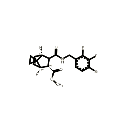 COC(=O)[C@H]1C(C(=O)NCc2ccc(Br)c(F)c2F)[C@@H]2C=C[C@H]1C21CC1